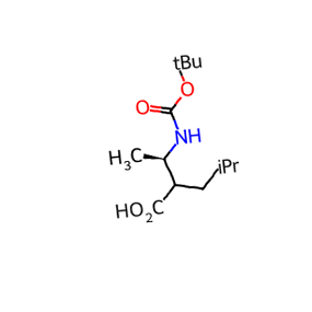 CC(C)CC(C(=O)O)[C@@H](C)NC(=O)OC(C)(C)C